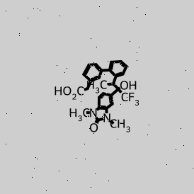 CC(c1ccccc1-c1cccc(CC(=O)O)c1)C(O)(c1ccc2c(c1)n(C)c(=O)n2C)C(F)(F)F